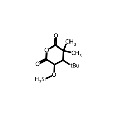 CC(C)(C)C1C(O[SiH3])C(=O)OC(=O)C1(C)C